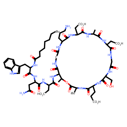 CCC(C)CCCCCCC(=O)NC(Cc1c[nH]c2ccccc12)C(=O)NC(CC(N)=O)C(=O)NC(CC(=O)O)C(=O)NC1C(=O)NCC(=O)NC(CCCN)C(=O)NC(CC(=O)O)C(=O)NC(C)C(=O)NC(CC(=O)O)C(=O)NCC(=O)NC(CO)C(=O)NC(CCC(=O)O)C(=O)NC(C(C)CC)C(=O)OC1C